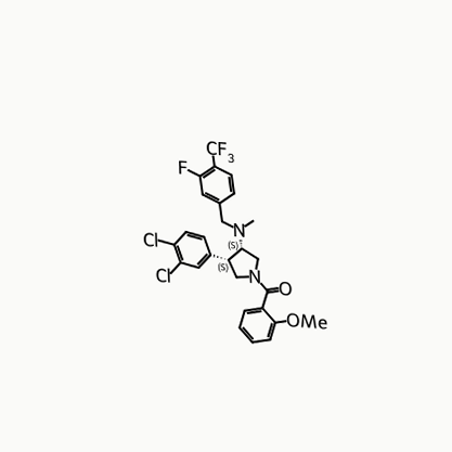 COc1ccccc1C(=O)N1C[C@H](c2ccc(Cl)c(Cl)c2)[C@H](N(C)Cc2ccc(C(F)(F)F)c(F)c2)C1